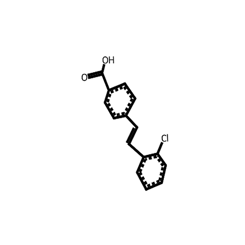 O=C(O)c1ccc(/C=C/c2ccccc2Cl)cc1